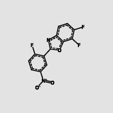 O=[N+]([O-])c1ccc(F)c(-c2nc3ccc(F)c(F)c3o2)c1